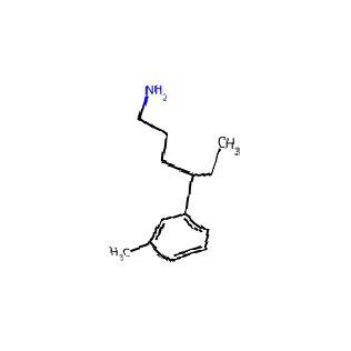 CCC(CCCN)c1cccc(C)c1